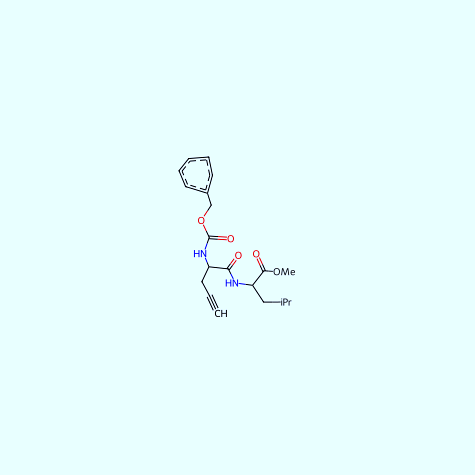 C#CCC(NC(=O)OCc1ccccc1)C(=O)NC(CC(C)C)C(=O)OC